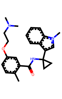 Cc1ccc(OCCN(C)C)cc1C(=O)NC1(c2cn(C)c3ccccc23)CC1